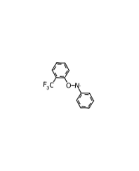 FC(F)(F)c1ccccc1O[N]c1ccccc1